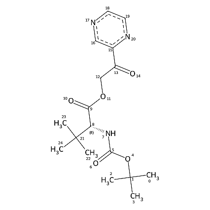 CC(C)(C)OC(=O)N[C@@H](C(=O)OCC(=O)c1cnccn1)C(C)(C)C